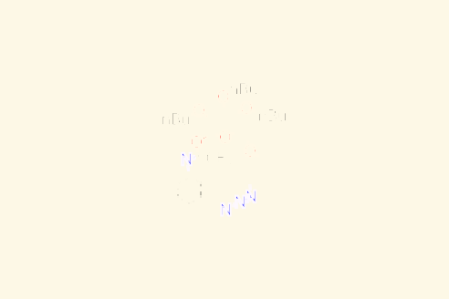 CCCCOC1[C@@H](OCCCC)C(COCC(C)CN=[N+]=[N-])O[C@@H](O/C(=N/c2ccccc2)C(F)(F)F)[C@H]1OCCCC